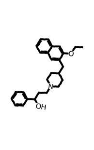 CCOc1cc2ccccc2cc1CC1CCN(CCC(O)c2ccccc2)CC1